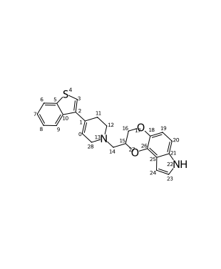 C1=C(c2csc3ccccc23)CCN(CC2COc3ccc4[nH]ccc4c3O2)C1